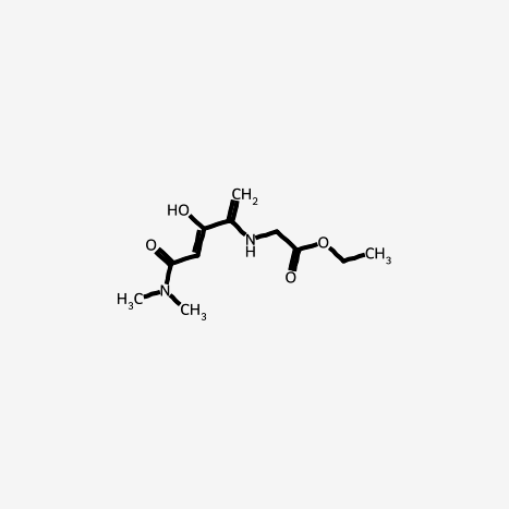 C=C(NCC(=O)OCC)/C(O)=C/C(=O)N(C)C